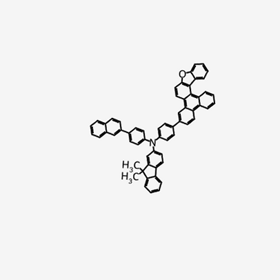 CC1(C)c2ccccc2-c2ccc(N(c3ccc(-c4ccc5ccccc5c4)cc3)c3ccc(-c4ccc5c6ccccc6c6c(ccc7oc8ccccc8c76)c5c4)cc3)cc21